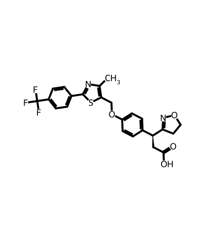 Cc1nc(-c2ccc(C(F)(F)F)cc2)sc1COc1ccc([C@H](CC(=O)O)C2=NOCC2)cc1